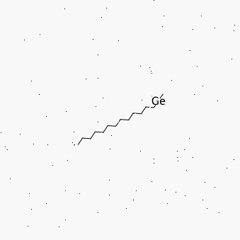 [CH2]CCCCCCCCCCC[CH2][Ge]([CH3])([CH3])[CH3]